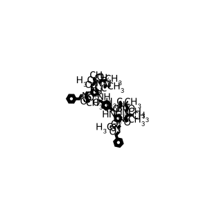 BN(C)[C@@H](C)C(=O)N[C@H](C(=O)N1C[C@@H](NC(=O)c2ccc(C(=O)N[C@H]3C[C@@H](CN(CCc4ccccc4)S(C)(=O)=O)N(C(=O)[C@@H](NC(=O)[C@H](C)N(C)C)C(C)(C)C)C3)cc2)C[C@H]1CN(CCc1ccccc1)S(C)(=O)=O)C(C)(C)C